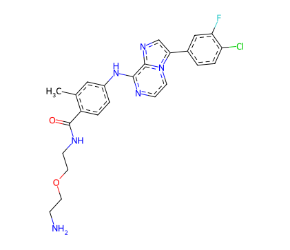 Cc1cc(Nc2nccn3c(-c4ccc(Cl)c(F)c4)cnc23)ccc1C(=O)NCCOCCN